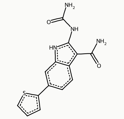 NC(=O)Nc1[nH]c2cc(-c3cccs3)ccc2c1C(N)=O